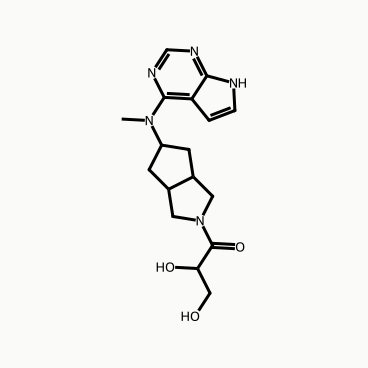 CN(c1ncnc2[nH]ccc12)C1CC2CN(C(=O)C(O)CO)CC2C1